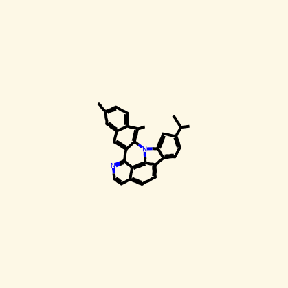 Cc1ccc2c(C)c3c(cc2c1)c1nccc2ccc4c5ccc(C(C)C)cc5n3c4c21